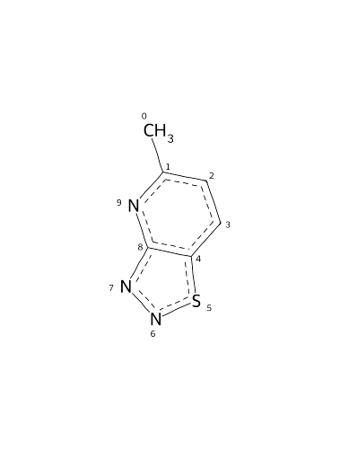 Cc1ccc2snnc2n1